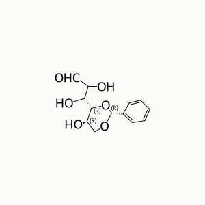 O=CC(O)C(O)[C@@H]1O[C@H](c2ccccc2)OC[C@H]1O